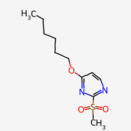 CCCCCCOc1ccnc(S(C)(=O)=O)n1